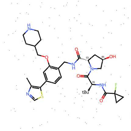 Cc1ncsc1-c1ccc(CNC(=O)[C@@H]2C[C@@H](O)CN2C(=O)[C@@H](NC(=O)C2(F)CC2)C(C)(C)C)c(OCC2CCNCC2)c1